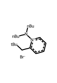 CCCCN(CCCC)[n+]1ccccc1CC(C)(C)C.[Br-]